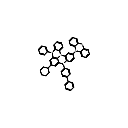 c1ccc(-c2ccc(N3c4ccc(N5c6ccccc6Sc6ccccc65)cc4B4c5ccccc5N(c5ccccc5)c5cc(C6CCCCC6)cc3c54)cc2)cc1